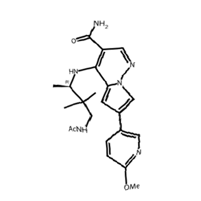 COc1ccc(-c2cc3c(N[C@H](C)C(C)(C)CNC(C)=O)c(C(N)=O)cnn3c2)cn1